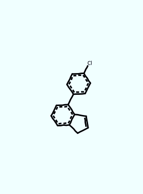 Clc1ccc(-c2cccc3c2C=CC3)cc1